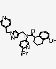 CC(C)c1ccc(N(Cc2cnn(Cc3ccncc3)c2)C(=O)C2CCCc3c(O)cccc32)cn1